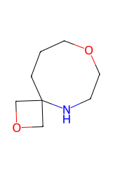 C1COCCNC2(C1)COC2